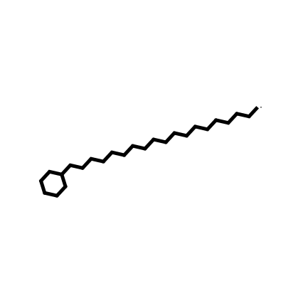 [CH2]CCCCCCCCCCCCCCCCCCC1CCCCC1